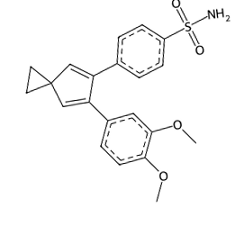 COc1ccc(C2=CC3(C=C2c2ccc(S(N)(=O)=O)cc2)CC3)cc1OC